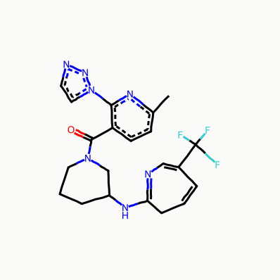 Cc1ccc(C(=O)N2CCCC(NC3=NC=C(C(F)(F)F)C=CC3)C2)c(-n2ccnn2)n1